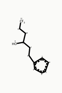 OC(CCc1ccccc1)CCC(F)(F)F